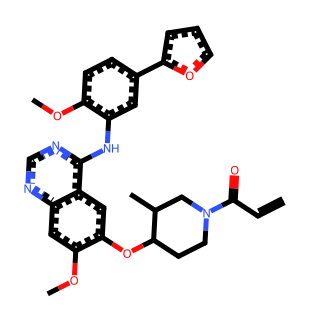 C=CC(=O)N1CCC(Oc2cc3c(Nc4cc(-c5ccco5)ccc4OC)ncnc3cc2OC)C(C)C1